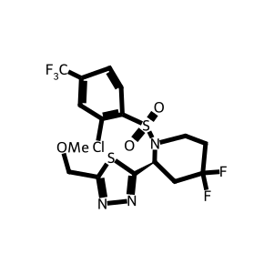 COCc1nnc([C@@H]2CC(F)(F)CCN2S(=O)(=O)c2ccc(C(F)(F)F)cc2Cl)s1